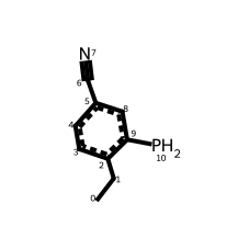 CCc1ccc(C#N)cc1P